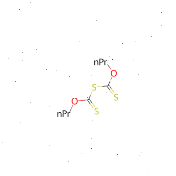 CCCOC(=S)SC(=S)OCCC